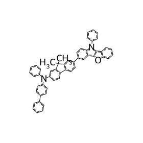 CC1(C)c2cc(-c3ccc4c(c3)c3oc5ccccc5c3n4-c3ccccc3)ccc2-c2ccc(N(c3ccccc3)c3ccc(-c4ccccc4)cc3)cc21